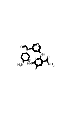 NC(=O)c1cc(F)c(N[C@@H]2CCCC[C@@H]2N)nc1Nc1cncc(NC=O)c1